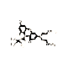 COCCN(CCOC)c1cc(Cl)c2c(c1)SC1C=C(Br)C=C(Cl)C1N2C(=O)OC(C)(C)C